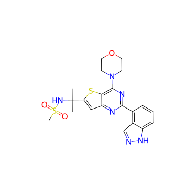 CC(C)(NS(C)(=O)=O)c1cc2nc(-c3cccc4[nH]ncc34)nc(N3CCOCC3)c2s1